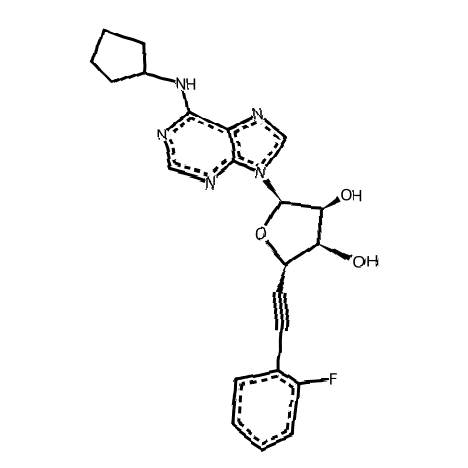 O[C@@H]1[C@H](O)[C@H](n2cnc3c(NC4CCCC4)ncnc32)O[C@@H]1C#Cc1ccccc1F